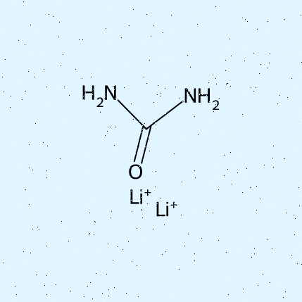 NC(N)=O.[Li+].[Li+]